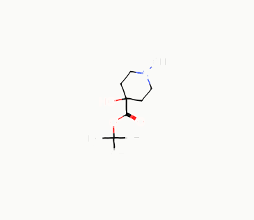 CN1CCC(O)(C(=O)OC(C)(C)C)CC1